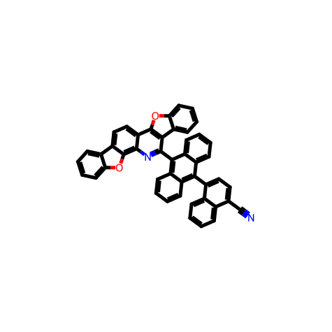 N#Cc1ccc(-c2c3ccccc3c(-c3nc4c(ccc5c6ccccc6oc54)c4oc5ccccc5c34)c3ccccc23)c2ccccc12